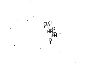 CC(C)(C)c1cc(NC(=O)OCC(Cl)(Cl)Cl)n(CCOI)n1